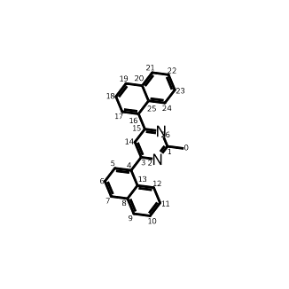 Cc1nc(-c2cccc3ccccc23)cc(-c2cccc3ccccc23)n1